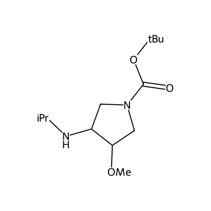 COC1CN(C(=O)OC(C)(C)C)CC1NC(C)C